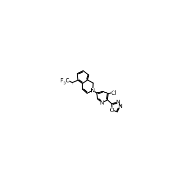 FC(F)(F)[CH]c1cccc2c1C=CN(c1cnc(-c3nnco3)c(Cl)c1)C2